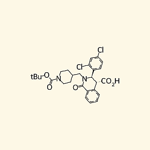 CC(C)(C)OC(=O)N1CCC(CN2C(=O)c3ccccc3[C@@H](C(=O)O)[C@@H]2c2ccc(Cl)cc2Cl)CC1